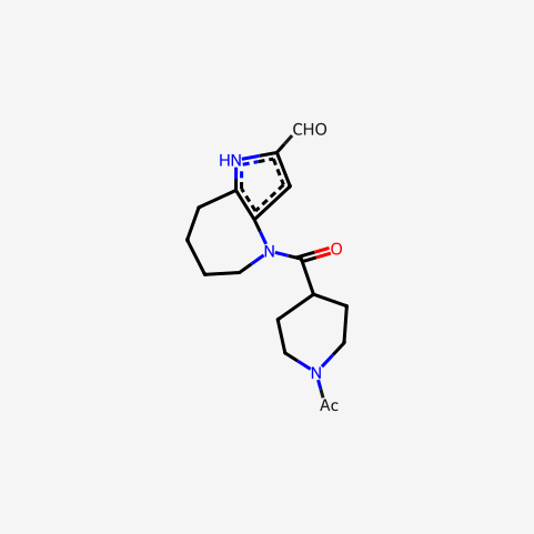 CC(=O)N1CCC(C(=O)N2CCCCc3[nH]c(C=O)cc32)CC1